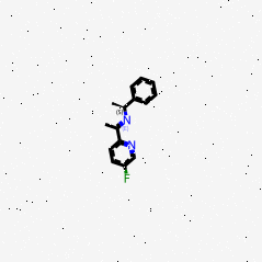 C/C(=N\[C@@H](C)c1ccccc1)c1ccc(F)cn1